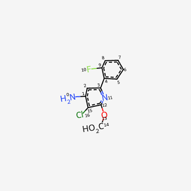 Nc1cc(-c2ccccc2F)nc(OC(=O)O)c1Cl